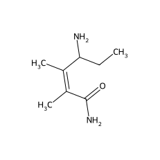 CCC(N)C(C)=C(C)C(N)=O